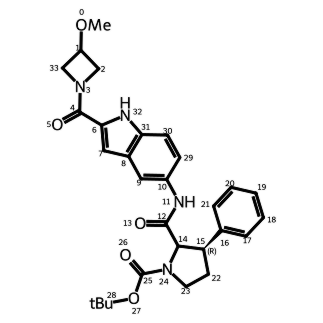 COC1CN(C(=O)c2cc3cc(NC(=O)C4[C@@H](c5ccccc5)CCN4C(=O)OC(C)(C)C)ccc3[nH]2)C1